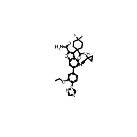 CCOc1cc(-c2ccc3c(C4(C(=O)NC5(C#N)CC5)CCC(F)(F)CC4)c(C(N)=O)oc3c2)ccc1-n1cncn1